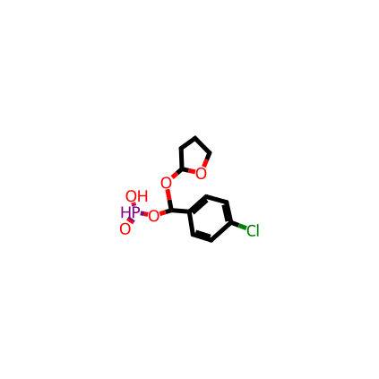 O=[PH](O)OC(OC1CCCO1)c1ccc(Cl)cc1